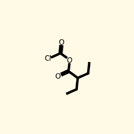 CCC(CC)C(=O)OC(=O)Cl